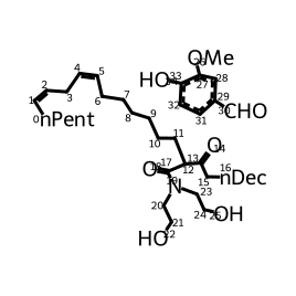 CCCCC/C=C\C/C=C\CCCCCCC(C(=O)CCCCCCCCCCC)C(=O)N(CCO)CCO.COc1cc(C=O)ccc1O